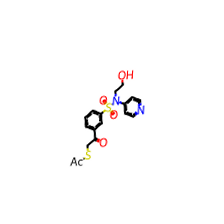 CC(=O)SCC(=O)c1cccc(S(=O)(=O)N(CCO)c2ccncc2)c1